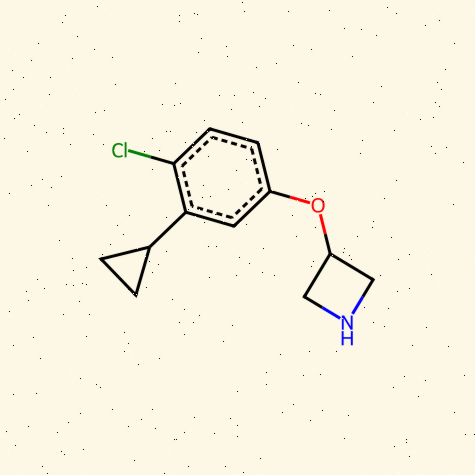 Clc1ccc(OC2CNC2)cc1C1CC1